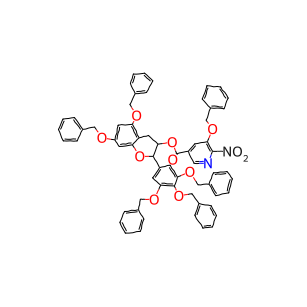 O=C(OC1Cc2c(OCc3ccccc3)cc(OCc3ccccc3)cc2OC1c1cc(OCc2ccccc2)c(OCc2ccccc2)c(OCc2ccccc2)c1)c1cnc([N+](=O)[O-])c(OCc2ccccc2)c1